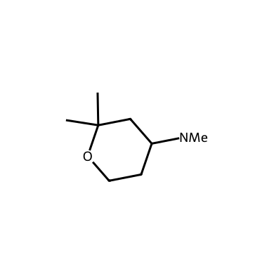 CNC1CCOC(C)(C)C1